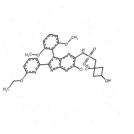 CCOc1cccc(-c2nc3nc(Cl)c(NS(=O)(=O)CC4(C)CC(O)C4)nc3n2-c2c(OC)cccc2OC)n1